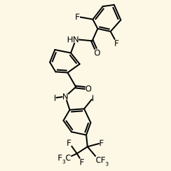 O=C(Nc1cccc(C(=O)N(I)c2ccc(C(F)(C(F)(F)F)C(F)(F)C(F)(F)F)cc2I)c1)c1c(F)cccc1F